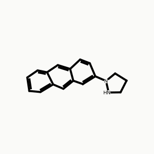 [c]1c(N2CCCN2)ccc2cc3ccccc3cc12